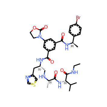 CCNC(=O)[C@@H](NC(=O)[C@H](C)NC[C@H](Cc1cscn1)NC(=O)c1cc(C(=O)N[C@H](C)c2ccc(Br)cc2)cc(N2CCOC2=O)c1)C(C)C